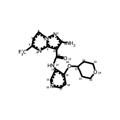 Nc1nn2ccc(C(F)(F)F)nc2c1C(=O)Nc1cnccc1OC1CCOCC1